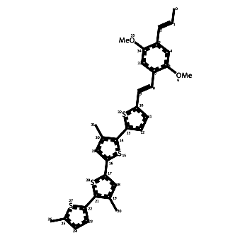 C/C=C/c1cc(OC)c(/C=C/c2ccc(-c3sc(-c4cc(C)c(-c5ccc(C)s5)s4)cc3C)s2)cc1OC